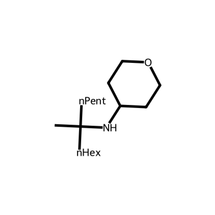 CCCCCCC(C)(CCCCC)NC1CCOCC1